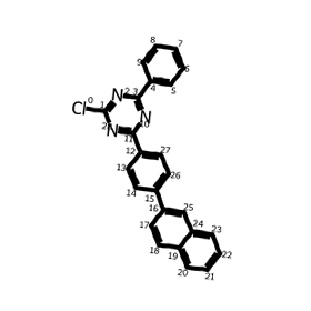 Clc1nc(-c2ccccc2)nc(-c2ccc(-c3ccc4ccccc4c3)cc2)n1